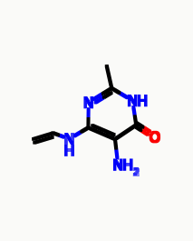 C=CNc1nc(C)[nH]c(=O)c1N